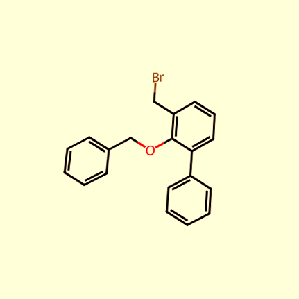 BrCc1cccc(-c2ccccc2)c1OCc1ccccc1